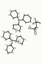 C1CCC(P(C2CCCCC2)C2CCCCC2)CC1.C1CCC(P(C2CCCCC2)C2CCCCC2)CC1.CC(C)(C)C=C(Cl)Cl